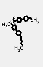 C=CC1CCC(c2ccc(C(F)(F)OC(C)c3ccc(C4CCC(CCCCCC)CC4)cc3)cc2)CC1